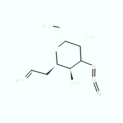 C=CC[C@H]1O[C@H](COC(C)=O)[C@H](OC(C)=O)C(N=[N+]=[N-])[C@H]1OC(C)=O